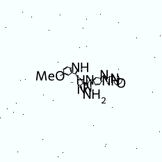 COc1ccc2[nH]cc(CCc3cnc(N)nc3Nc3ccc4[nH]c(CN5CCOCC5)nc4c3)c2c1